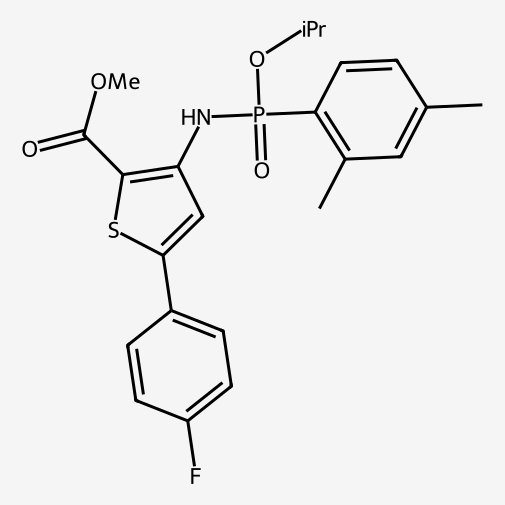 COC(=O)c1sc(-c2ccc(F)cc2)cc1NP(=O)(OC(C)C)c1ccc(C)cc1C